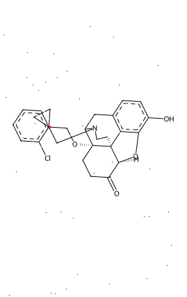 O=C1CC[C@@]2(OCc3ccccc3Cl)C3Cc4ccc(O)c5c4[C@@]2(CCN3CC2CC2)[C@H]1O5